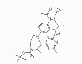 CC(=O)N1c2ccc(N3CCN(C(=O)OC(C)(C)C)C(C)C3)cc2[C@H](Nc2nccc(C)n2)[C@@H](C)[C@@H]1C1CC1